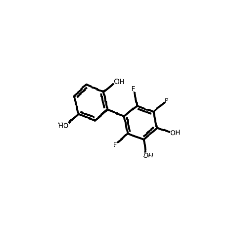 Oc1ccc(O)c(-c2c(F)c(O)c(O)c(F)c2F)c1